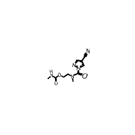 CNC(=O)OCCN(C)C(=O)n1cc(C#N)cn1